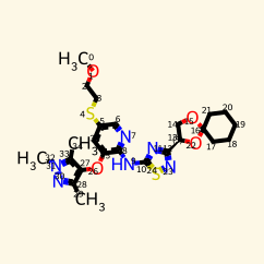 COCCSc1cnc(Nc2nc([C@H]3COC4(CCCCC4)O3)ns2)c(Oc2c(C)nn(C)c2C)c1